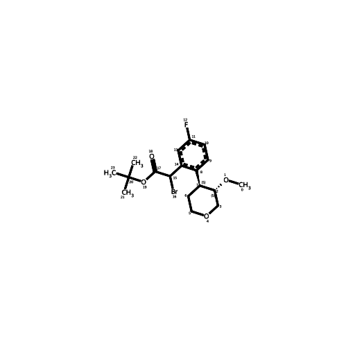 CO[C@@H]1COCC[C@H]1c1ccc(F)cc1C(Br)C(=O)OC(C)(C)C